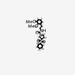 COc1cccc(CCNC(=O)N2CCC(S(=O)(=O)c3ccccc3)C2)c1OC